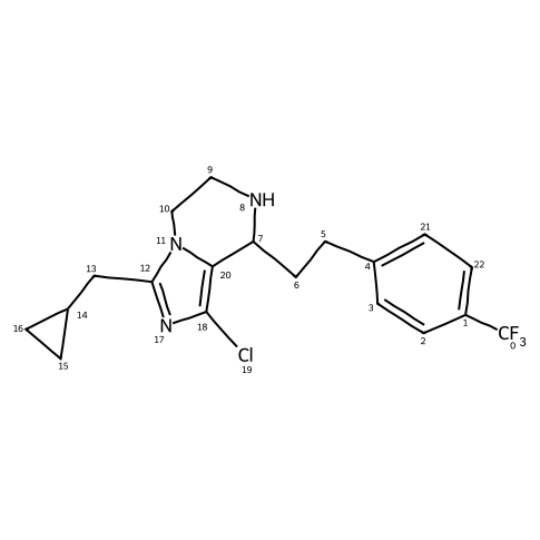 FC(F)(F)c1ccc(CCC2NCCn3c(CC4CC4)nc(Cl)c32)cc1